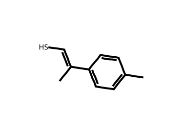 C/C(=C\S)c1ccc(C)cc1